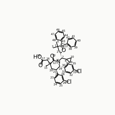 CC(C)(C)[Si](OC[C@H](C1CC1)N1C(=O)[C@@](C)(CC(=O)O)C[C@H](c2cccc(Cl)c2)[C@H]1c1ccc(Cl)cc1)(c1ccccc1)c1ccccc1